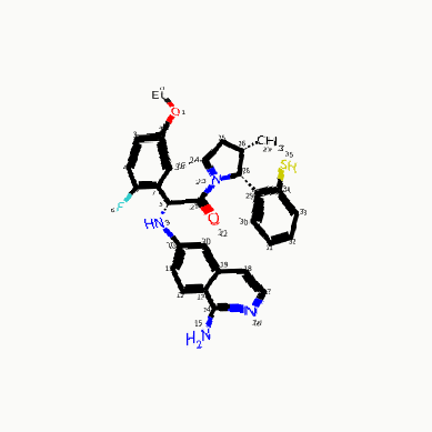 CCOc1ccc(F)c([C@@H](Nc2ccc3c(N)nccc3c2)C(=O)N2CC[C@H](C)[C@@H]2c2ccccc2S)c1